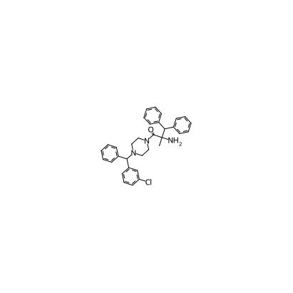 CC(N)(C(=O)N1CCN(C(c2ccccc2)c2cccc(Cl)c2)CC1)C(c1ccccc1)c1ccccc1